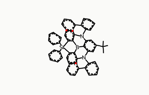 CC(C)(C)c1cc2c3c(c1)N(c1ccccc1-c1ccccn1)c1cccc4c1B3c1c(cccc1[Si]4(c1ccccc1)c1ccccc1)N2c1ccccc1-c1ccccn1